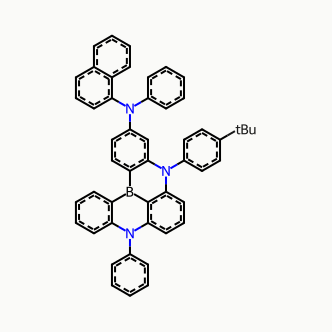 CC(C)(C)c1ccc(N2c3cc(N(c4ccccc4)c4cccc5ccccc45)ccc3B3c4ccccc4N(c4ccccc4)c4cccc2c43)cc1